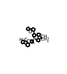 CC1(C)c2ccccc2-c2c(N(c3ccc(-c4cccc5c4C(C)(C)c4ccccc4-5)cc3)c3ccc(-c4cccc5c4oc4ccccc45)cc3)cccc21